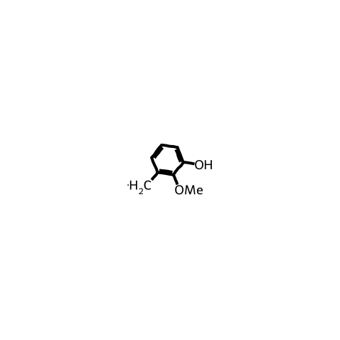 [CH2]c1cccc(O)c1OC